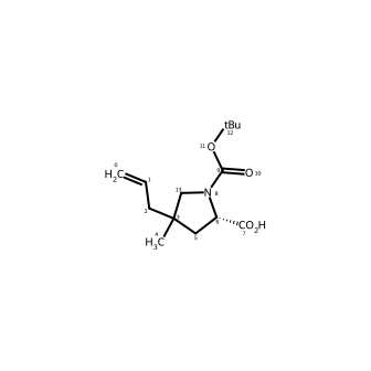 C=CCC1(C)C[C@@H](C(=O)O)N(C(=O)OC(C)(C)C)C1